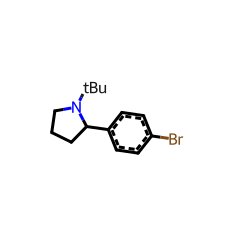 CC(C)(C)N1CCCC1c1ccc(Br)cc1